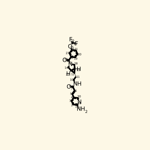 Nc1ccc(/C=C/C(=O)NCC[C@@H]2[C@H]3CN(C(=O)c4cccc(OC(F)F)c4)C[C@@H]23)cn1